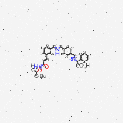 CC(C)COC(C)ONC(=O)/C=C/c1cccc(CNCC2CCC(CNC(C(=O)O)C3CCCCC3)CC2)c1